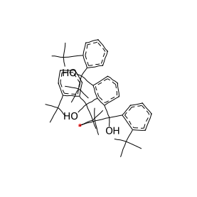 CC(C)(C)c1ccccc1C(O)(c1cccc(C(O)(c2ccccc2C(C)(C)C)C(C)(C)C)c1C(O)(c1ccccc1C(C)(C)C)C(C)(C)C)C(C)(C)C